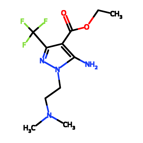 CCOC(=O)c1c(C(F)(F)F)nn(CCN(C)C)c1N